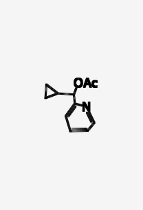 CC(=O)OC(c1ccccn1)C1CC1